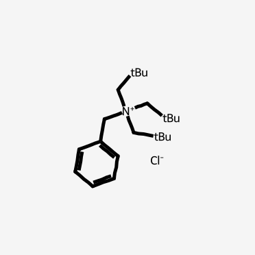 CC(C)(C)C[N+](Cc1ccccc1)(CC(C)(C)C)CC(C)(C)C.[Cl-]